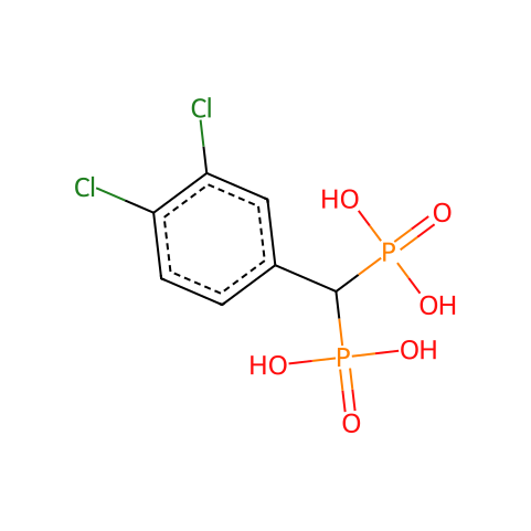 O=P(O)(O)C(c1ccc(Cl)c(Cl)c1)P(=O)(O)O